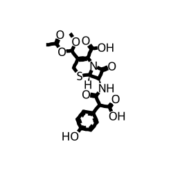 COC(OC(C)=O)C1=C(C(=O)O)N2C(=O)[C@H](NC(=O)C(C(=O)O)c3ccc(O)cc3)[C@H]2SC1